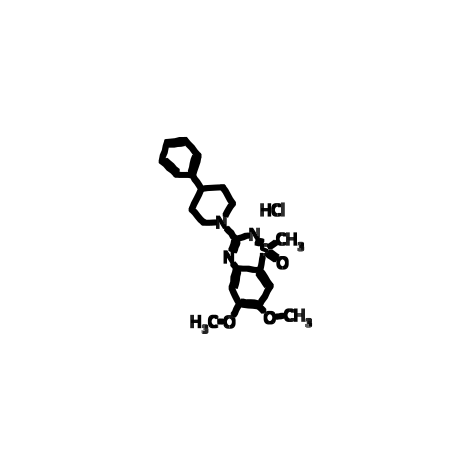 COc1cc2c(cc1OC)S(C)(=O)=NC(N1CCC(c3ccccc3)CC1)=N2.Cl